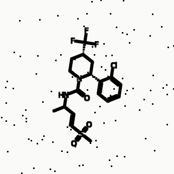 CC(/C=C/S(C)(=O)=O)NC(=O)N1CC[C@H](C(F)(F)F)C[C@@H]1c1ccccc1Cl